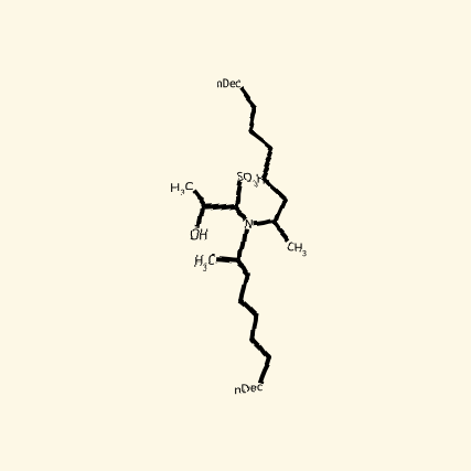 CCCCCCCCCCCCCCCC(C)N(C(C)CCCCCCCCCCCCCCC)C(C(C)O)S(=O)(=O)O